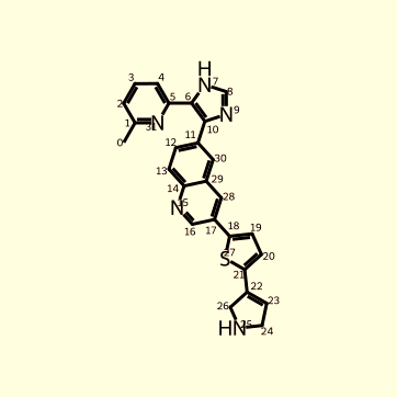 Cc1cccc(-c2[nH]cnc2-c2ccc3ncc(-c4ccc(C5=CCNC5)s4)cc3c2)n1